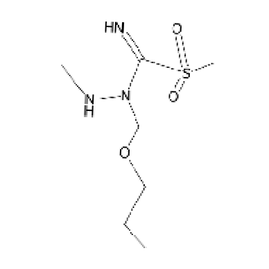 CCCOCN(NC)C(=N)S(C)(=O)=O